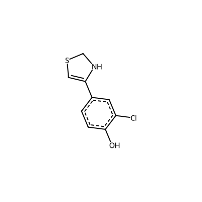 Oc1ccc(C2=CSCN2)cc1Cl